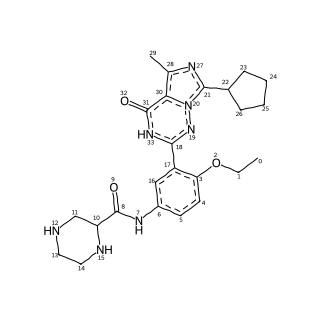 CCOc1ccc(NC(=O)C2CNCCN2)cc1-c1nn2c(C3CCCC3)nc(C)c2c(=O)[nH]1